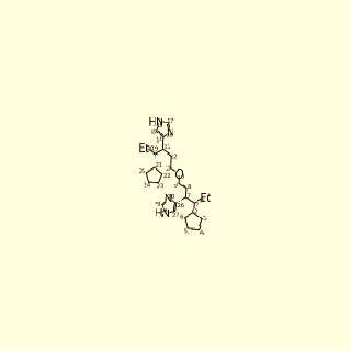 CCC(C1CCCC1)C(CCOCCC(c1c[nH]cn1)C(CC)C1CCCC1)c1c[nH]cn1